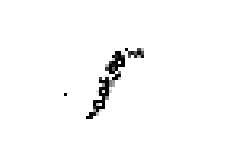 CCCCC1CCC(c2ccc(C(=O)O[C@H]3CC[C@@]4(C)C(=CCC5C4CC[C@@]4(C)C5CC[C@@H]4C(C)CCCC(C)C)C3)cc2)CC1